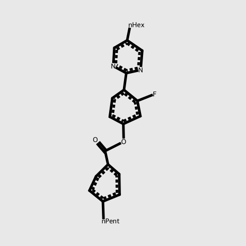 CCCCCCc1cnc(-c2ccc(OC(=O)c3ccc(CCCCC)cc3)cc2F)nc1